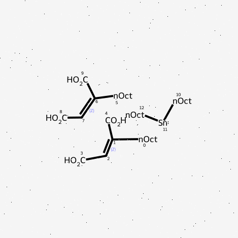 CCCCCCCC/C(=C/C(=O)O)C(=O)O.CCCCCCCC/C(=C/C(=O)O)C(=O)O.CCCCCCC[CH2][Sn][CH2]CCCCCCC